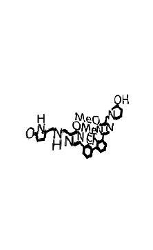 COc1nc(-c2cccc(-c3cccc(-c4cnc(CN5CCCC(O)C5)c(OC)n4)c3Cl)c2Cl)cnc1CNCC1CCC(=O)N1